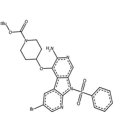 CC(C)(C)OC(=O)N1CCC(Oc2c(N)ncc3c2c2cc(Br)cnc2n3S(=O)(=O)c2ccccc2)CC1